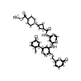 CC(C)(C)OC(=O)C1CCN(C2CC(C(=O)Nc3cc(Nc4cc(-c5cc(Cl)ccc5F)nnc4SCc4cccc(=O)o4)ncn3)C2)CC1